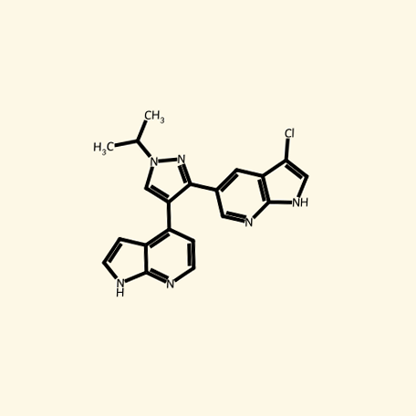 CC(C)n1cc(-c2ccnc3[nH]ccc23)c(-c2cnc3[nH]cc(Cl)c3c2)n1